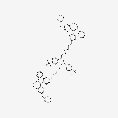 FC(F)(F)c1ccc(C(CCCCCOc2ccc(C3=C(c4ccccc4)CCCc4cc(OC5CCCCO5)ccc43)cc2)SC(CCCCCOc2ccc(C3=C(c4ccccc4)CCCc4cc(OC5CCCCO5)ccc43)cc2)c2ccc(C(F)(F)F)cc2)cc1